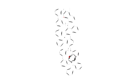 Cc1cccc2c1oc1c(N(c3cccc4ccccc34)c3cc4c(c5ccccc35)-c3ccc(N(c5cccc6ccccc56)c5cccc6c5oc5c([Si](c7ccccc7)(c7ccccc7)c7ccccc7)cccc56)cc3C4(c3ccccc3)c3ccccc3)cccc12